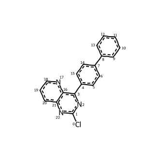 Clc1nc(-c2ccc(-c3ccccc3)cc2)c2ncccc2n1